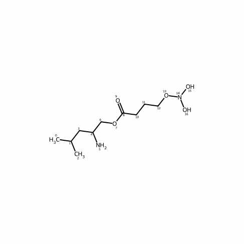 CC(C)CC(N)COC(=O)CCCON(O)O